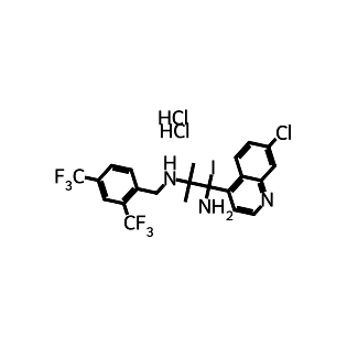 CC(C)(NCc1ccc(C(F)(F)F)cc1C(F)(F)F)C(N)(I)c1ccnc2cc(Cl)ccc12.Cl.Cl